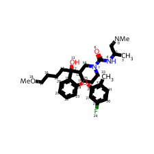 CNCC(C)NC(=O)N1CCCC(C(O)(CCCCOC)c2ccccc2Oc2cc(F)ccc2C)C1